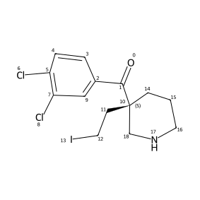 O=C(c1ccc(Cl)c(Cl)c1)[C@]1(CCI)CCCNC1